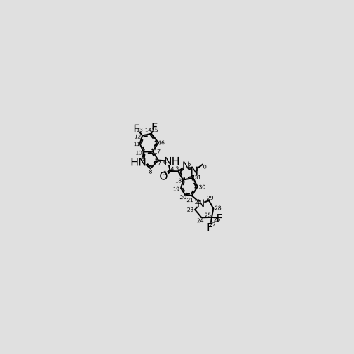 Cn1nc(C(=O)Nc2c[nH]c3cc(F)c(F)cc23)c2ccc(N3CCC(F)(F)CC3)cc21